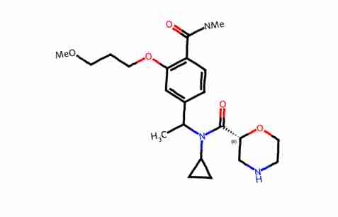 CNC(=O)c1ccc(C(C)N(C(=O)[C@H]2CNCCO2)C2CC2)cc1OCCCOC